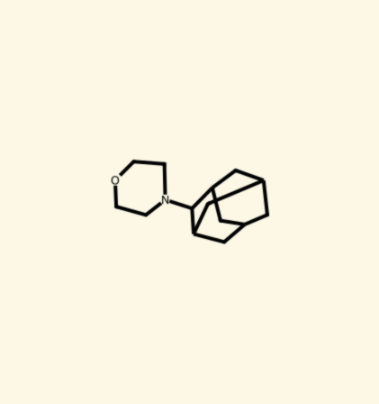 C1CN(C2C3CC4CC(C3)CC2C4)CCO1